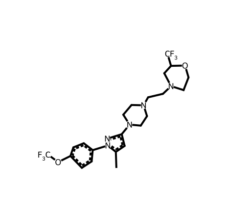 Cc1cc(N2CCN(CCN3CCOC(C(F)(F)F)C3)CC2)nn1-c1ccc(OC(F)(F)F)cc1